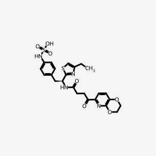 CCc1csc([C@H](Cc2ccc(NS(=O)(=O)O)cc2)NC(=O)CCC(=O)c2ccc3c(n2)OCCO3)n1